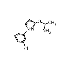 CC(N)Oc1ccn(-c2cccc(Cl)c2)n1